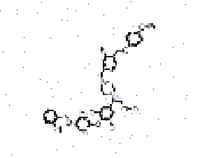 Cc1cc(/C(=C\C=O)N2CCN(Cc3ccc(COc4ccc(OC(C)C)cc4)c(F)c3)CC2)cc(Cl)c1Oc1ccc(OCc2ccccc2Cl)cn1